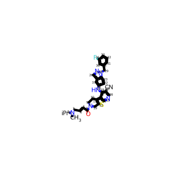 CC(C)N(C)CC=CC(=O)N1CCc2c(sc3ncc(C#N)c(Nc4ccc5c(cnn5Cc5cccc(F)c5)c4)c23)C1